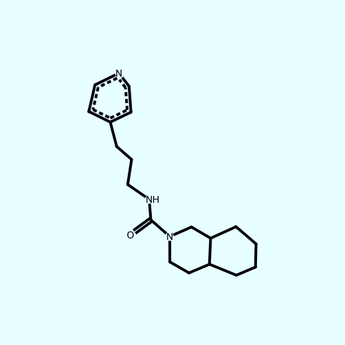 O=C(NCCCc1ccncc1)N1CCC2CCCCC2C1